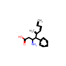 C=C/C=C\C(=C)C(c1ccccc1)C(N)CC(=O)O